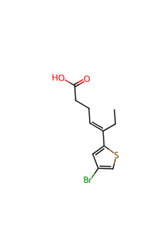 CCC(=CCCC(=O)O)c1cc(Br)cs1